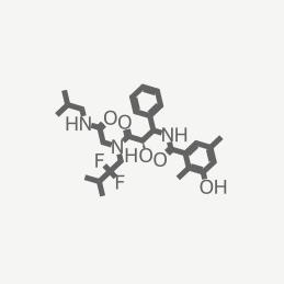 Cc1cc(O)c(C)c(C(=O)NC(c2ccccc2)[C@H](O)C(=O)N(CC(=O)NCC(C)C)CC(F)(F)C(C)C)c1